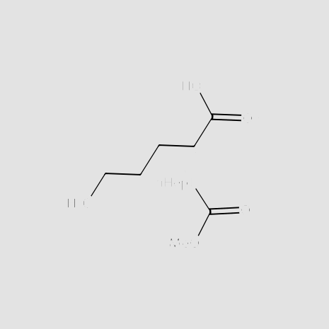 CCCCCC(=O)O.CCCCCCCC(=O)OC